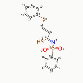 O=S(=O)(N=C(S)C=CSc1ccccc1)c1ccccc1